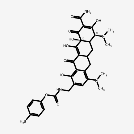 Bc1ccc(OC(=O)NCc2cc(N(C)C)c3c(c2O)C(=O)C2=C(O)[C@]4(O)C(=O)C(C(N)=O)=C(O)[C@@H](N(C)C)C4CC2C3)cc1